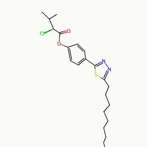 CCCCCCCCCc1nnc(-c2ccc(OC(=O)[C@@H](Cl)C(C)C)cc2)s1